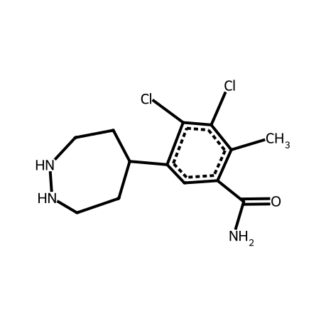 Cc1c(C(N)=O)cc(C2CCNNCC2)c(Cl)c1Cl